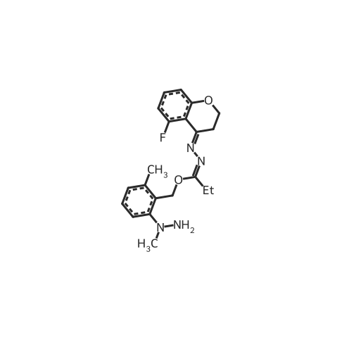 CCC(=NN=C1CCOc2cccc(F)c21)OCc1c(C)cccc1N(C)N